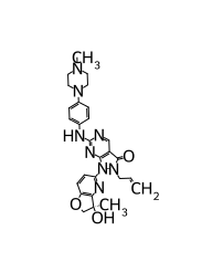 C=CCn1c(=O)c2cnc(Nc3ccc(N4CCN(C)CC4)cc3)nc2n1-c1ccc2c(n1)[C@@](C)(O)CO2